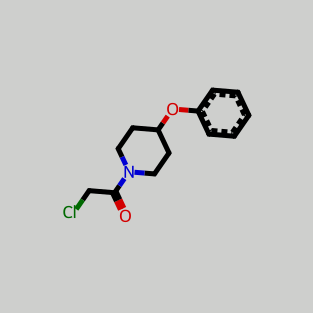 O=C(CCl)N1CCC(Oc2ccccc2)CC1